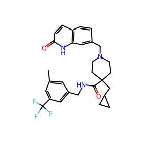 Cc1cc(CNC(=O)C2(CC3CC3)CCN(Cc3ccc4ccc(=O)[nH]c4c3)CC2)cc(C(F)(F)F)c1